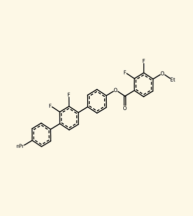 CCCc1ccc(-c2ccc(-c3ccc(OC(=O)c4ccc(OCC)c(F)c4F)cc3)c(F)c2F)cc1